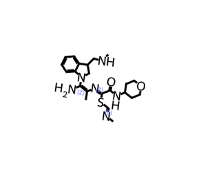 C/N=C/S/C(=N\C(C)=C(\N)N1CC(CNC)c2ccccc21)C(=O)NC1CCOCC1